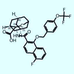 O=C(N[C@@]1(C(=O)O)CC2C[C@@H]3C[C@H](C2)C[C@H]1C3)c1ccc2c(F)cccc2c1OCc1ccc(OC(F)(F)F)cc1